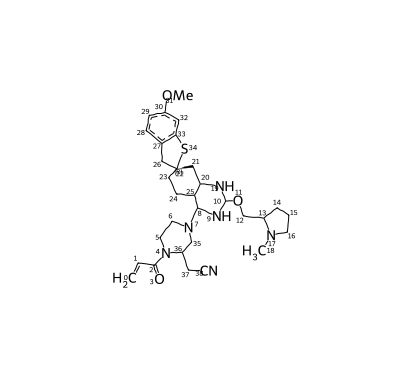 C=CC(=O)N1CCN(C2NC(OCC3CCCN3C)NC3C[C@@]4(CCC32)Cc2ccc(OC)cc2S4)CC1CC#N